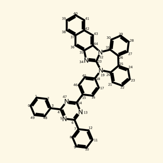 c1ccc(-c2nc(-c3ccccc3)nc(-c3ccc(N4c5ccccc5-c5ccccc5-n5c4nc4cc6ccccc6cc45)cc3)n2)cc1